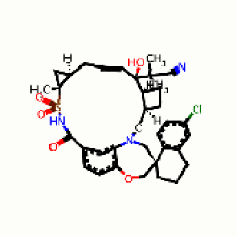 CC(C)(C#N)[C@@]1(O)/C=C/C[C@@H]2C[C@@]2(C)S(=O)(=O)NC(=O)c2ccc3c(c2)N(C[C@@H]2CC[C@H]21)C[C@@]1(CCCc2cc(Cl)ccc21)CO3